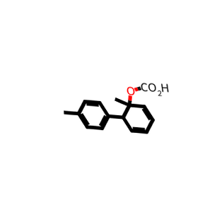 Cc1ccc(C2C=CC=CC2(C)OC(=O)O)cc1